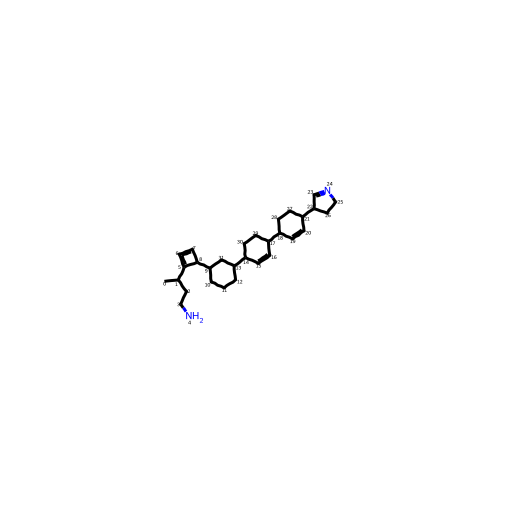 CC(CCN)C1=C=CC1C1CCCC(C2C=CC(C3C=CC(C4C=NCC4)CC3)CC2)C1